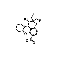 O=C1CCCCN1[C@@H]1c2cc([N+](=O)[O-])ccc2OC(CF)(CF)[C@H]1O